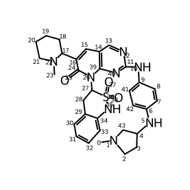 CN1CCC(Nc2ccc(Nc3ncc4cc(C5CCCCN5C)c(=O)n(C5Cc6ccccc6NS5(=O)=O)c4n3)cc2)C1